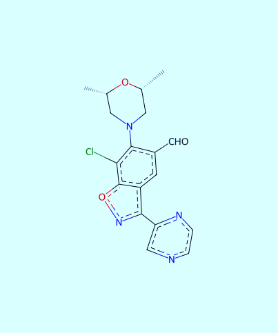 C[C@@H]1CN(c2c(C=O)cc3c(-c4cnccn4)noc3c2Cl)C[C@H](C)O1